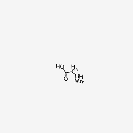 CC(=O)O.[LiH].[Mn]